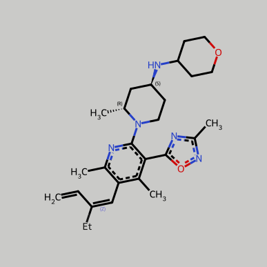 C=C/C(=C\c1c(C)nc(N2CC[C@H](NC3CCOCC3)C[C@H]2C)c(-c2nc(C)no2)c1C)CC